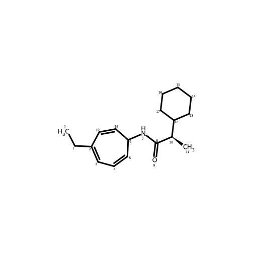 CCC1=CC=CC(NC(=O)[C@H](C)C2CCCCC2)C=C1